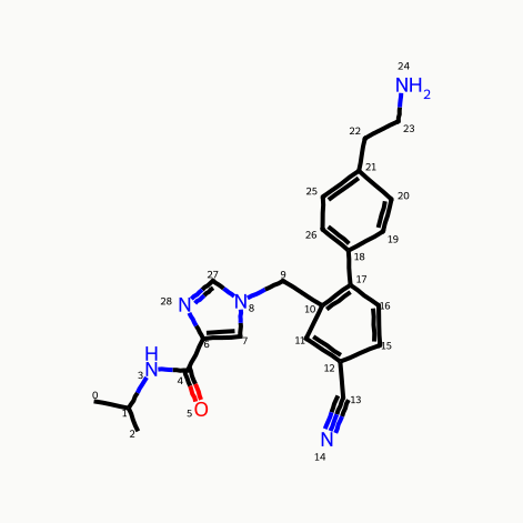 CC(C)NC(=O)c1cn(Cc2cc(C#N)ccc2-c2ccc(CCN)cc2)cn1